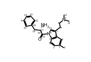 Cc1ccc2c(c1)c(CCN(C)C)cn2C(=O)[C@@H](N)Cc1ccccc1